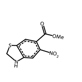 COC(=O)c1cc2c(cc1[N+](=O)[O-])NCS2